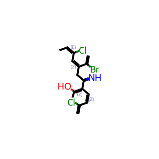 C=C(Cl)/C=C\C(C(=N)C/C(=C/C(Cl)=C\C)C(=C)Br)=C(/C)O